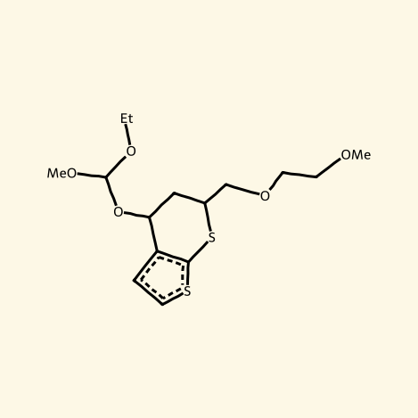 CCOC(OC)OC1CC(COCCOC)Sc2sccc21